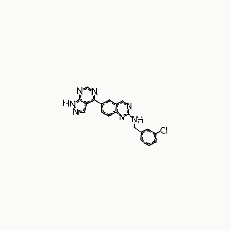 Clc1cccc(CNc2ncc3cc(-c4ncnc5[nH]ncc45)ccc3n2)c1